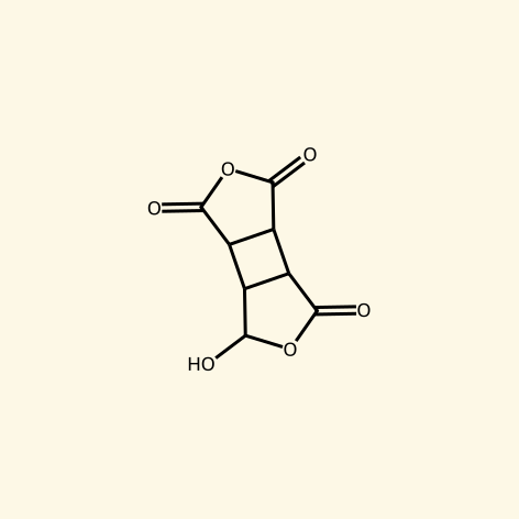 O=C1OC(=O)C2C1C1C(=O)OC(O)C21